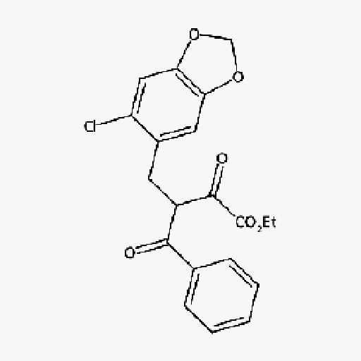 CCOC(=O)C(=O)C(Cc1cc2c(cc1Cl)OCO2)C(=O)c1ccccc1